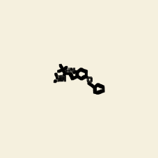 C[SiH](C)OC(c1cc2cc(OCc3ccccc3)ccc2[nH]1)C(C)(C)C